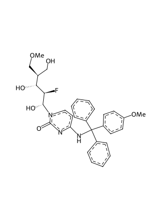 COC[C@@H](CO)[C@@H](O)[C@@H](F)[C@@H](O)n1ccc(NC(c2ccccc2)(c2ccccc2)c2ccc(OC)cc2)nc1=O